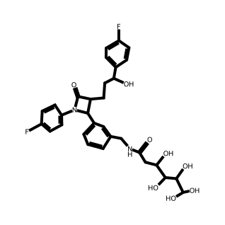 O=C(CC(O)C(O)C(O)C(O)O)NCc1cccc(C2C(CCC(O)c3ccc(F)cc3)C(=O)N2c2ccc(F)cc2)c1